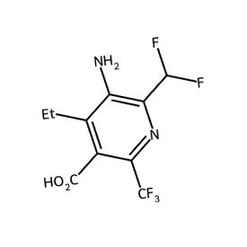 CCc1c(N)c(C(F)F)nc(C(F)(F)F)c1C(=O)O